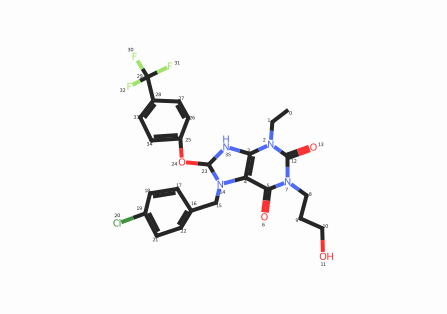 CCn1c2c(c(=O)n(CCCO)c1=O)N(Cc1ccc(Cl)cc1)C(Oc1ccc(C(F)(F)F)cc1)N2